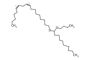 CCCCC/C=C\C/C=C\CCCCCCCCOC(CCCCCCCCC)OCCCC